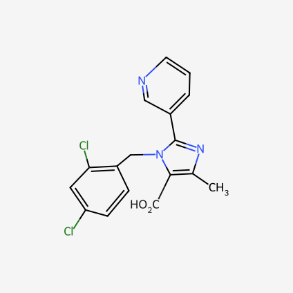 Cc1nc(-c2cccnc2)n(Cc2ccc(Cl)cc2Cl)c1C(=O)O